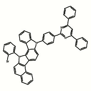 Brc1ccccc1-n1c2ccc3ccccc3c2c2ccc3c(c4ccccc4n3-c3ccc(-c4nc(-c5ccccc5)cc(-c5ccccc5)n4)cc3)c21